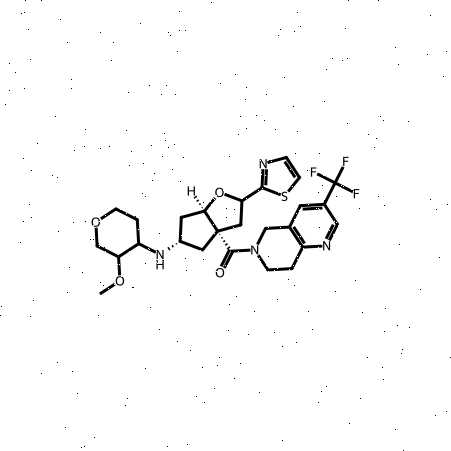 COC1COCCC1N[C@@H]1C[C@H]2OC(c3nccs3)C[C@@]2(C(=O)N2CCc3ncc(C(F)(F)F)cc3C2)C1